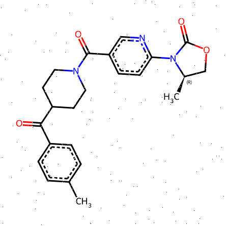 Cc1ccc(C(=O)C2CCN(C(=O)c3ccc(N4C(=O)OC[C@H]4C)nc3)CC2)cc1